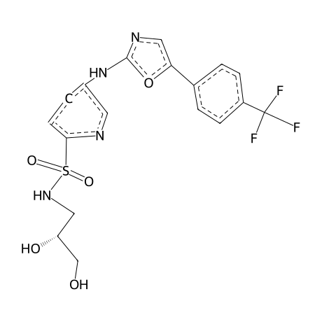 O=S(=O)(NC[C@@H](O)CO)c1ccc(Nc2ncc(-c3ccc(C(F)(F)F)cc3)o2)cn1